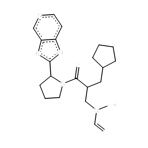 O=CN(O)CC(CC1CCCC1)C(=O)N1CCCC1c1nc2ccncc2[nH]1